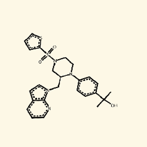 CC(C)(O)c1ccc(N2CCN(S(=O)(=O)c3cccs3)C[C@@H]2Cn2ccc3cccnc32)cc1